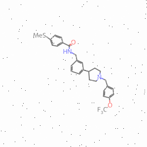 CSc1ccc(C(=O)NCc2cccc(C3CCN(Cc4ccc(OC(F)(F)F)cc4)CC3)c2)cc1